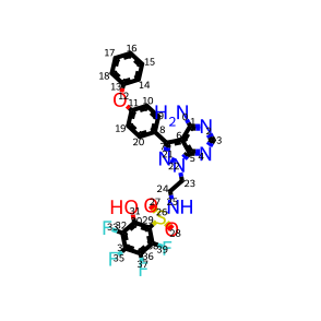 Nc1ncnc2c1c(-c1ccc(Oc3ccccc3)cc1)nn2CCNS(=O)(=O)c1c(O)c(F)c(F)c(F)c1F